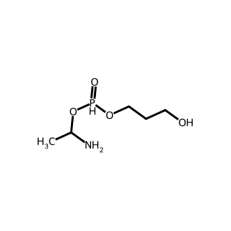 CC(N)O[PH](=O)OCCCO